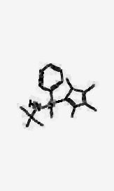 CC1=C(C)C(C)C([Si](C)(NC(C)(C)C)c2ccccc2)=C1C